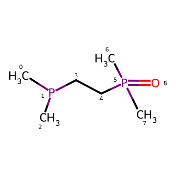 CP(C)CCP(C)(C)=O